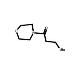 CC(C)(C)CCC(=O)N1CCOCC1